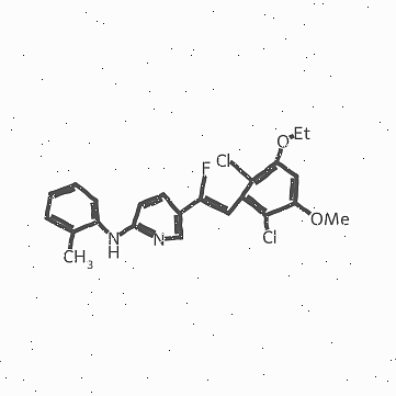 CCOc1cc(OC)c(Cl)c(/C=C(\F)c2ccc(Nc3ccccc3C)nc2)c1Cl